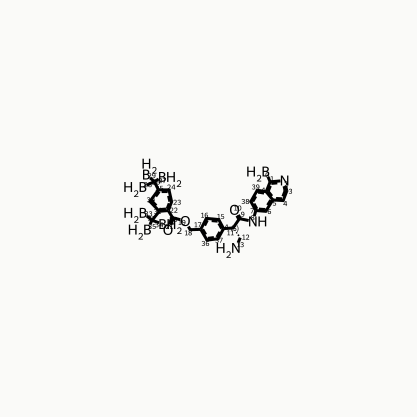 Bc1nccc2cc(NC(=O)[C@H](CN)c3ccc(COC(=O)c4ccc(C(B)(B)B)cc4C(B)(B)B)cc3)ccc12